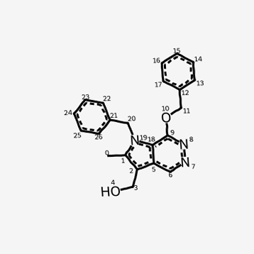 Cc1c(CO)c2cnnc(OCc3ccccc3)c2n1Cc1ccccc1